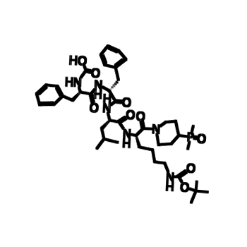 CC(C)C[C@@H](NC(=O)[C@@H](Cc1ccccc1)NC(=O)[C@@H](Cc1ccccc1)NC(=O)O)C(=O)N[C@H](CCCCNC(=O)OC(C)(C)C)C(=O)N1CCC(P(C)(C)=O)CC1